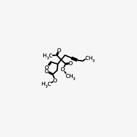 CCC#CCC(C(C)=O)(C(=O)OC)C(C=O)CC(=O)OC